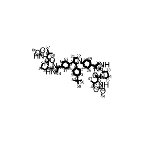 COC(=O)N[C@H](C(=O)N1CCC[C@H]1c1nc(-c2ccc(-c3ccn(-c4ccc(-c5c[nH]c([C@@H]6CCCN6C(=O)[C@@H](NC(=O)OC)C(C)C)n5)cc4)c3-c3ccc(C(C)(C)C)cc3)cc2)c[nH]1)C(C)C